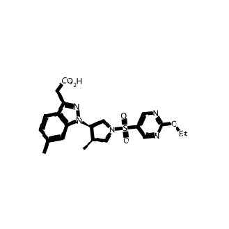 CCOc1ncc(S(=O)(=O)N2C[C@@H](C)[C@@H](n3nc(CC(=O)O)c4ccc(C)cc43)C2)cn1